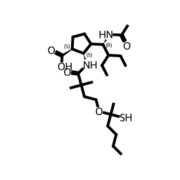 CCCCC(C)(S)OCCC(C)(C)C(=O)N[C@H]1C([C@H](NC(C)=O)C(CC)CC)CC[C@@H]1C(=O)O